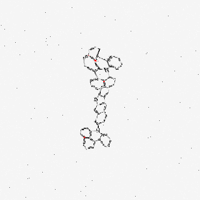 c1ccc(-c2ccccc2N(c2ccccc2)c2ccc3cc4c(cc3c2)oc2cc3cc(N(c5ccccc5-c5ccccc5)c5ccccc5-c5ccccc5)ccc3cc24)cc1